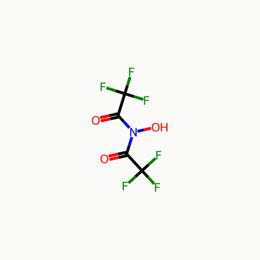 O=C(N(O)C(=O)C(F)(F)F)C(F)(F)F